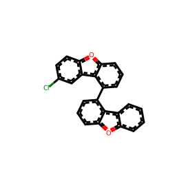 Clc1ccc2oc3cccc(-c4cccc5oc6ccccc6c45)c3c2c1